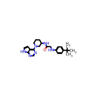 CC(C)(C)c1ccc(NCC(=O)NC2CCCN(c3ncnc4[nH]ccc34)C2)cc1